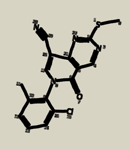 CSc1ncc2c(=O)n(-c3c(C)cccc3Cl)cc(C#N)c2n1